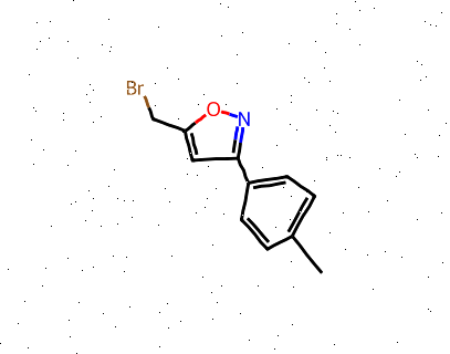 Cc1ccc(-c2cc(CBr)on2)cc1